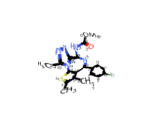 COC(=O)NC1N=C(c2ccc(Cl)cc2)c2c(sc(C)c2C)-n2c(C)nnc21